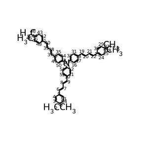 CC1(C)C=CC(C=CC=Cc2ccc(N(c3ccc(C=CC=CC4=CCC(C)(C)C=C4)cc3)c3ccc(C=CC=CC4=CCC(C)(C)C=C4)cc3)cc2)=CC1